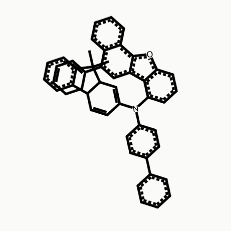 CC1(C)c2ccccc2C2C=CC(N(c3ccc(-c4ccccc4)cc3)c3cccc4oc5c6ccccc6c(C6=CC=CCC6)cc5c34)=CC21